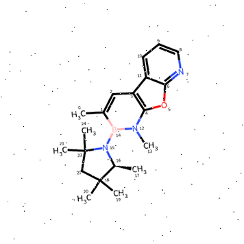 CC1=Cc2c(oc3ncccc23)N(C)B1N1[C@@H](C)C(C)(C)CC1(C)C